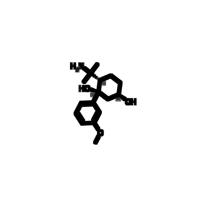 COc1cccc([C@@]2(O)C[C@H](O)CC[C@H]2C(C)(C)N)c1